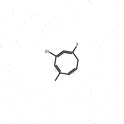 CCC1=C=C(F)C/C=C\C(C)=C/1